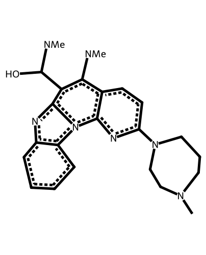 CNc1c(C(O)NC)c2nc3ccccc3n2c2nc(N3CCCN(C)CC3)ccc12